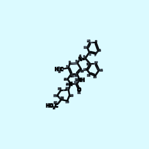 Cc1cc(N=C(c2ccccc2)c2ccccc2)cc2c1CN(C1CCC(C(=O)O)CC1)C(=O)N2